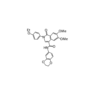 CCOc1ccc(-n2cc(C(=O)Nc3ccc4c(c3)OCCO4)c3cc(OC)c(OC)cc3c2=O)cc1